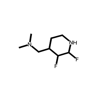 CN(C)CC1CCNC(F)C1F